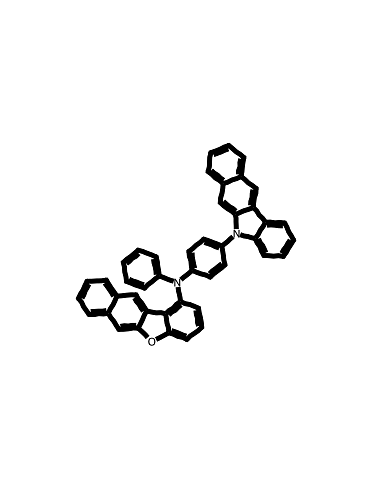 c1ccc(N(c2ccc(-n3c4ccccc4c4cc5ccccc5cc43)cc2)c2cccc3oc4cc5ccccc5cc4c23)cc1